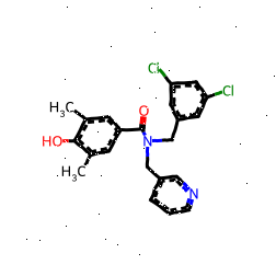 Cc1cc(C(=O)N(Cc2cccnc2)Cc2cc(Cl)cc(Cl)c2)cc(C)c1O